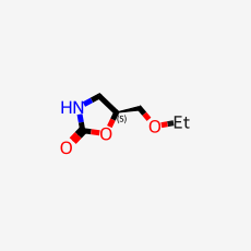 CCOC[C@@H]1CNC(=O)O1